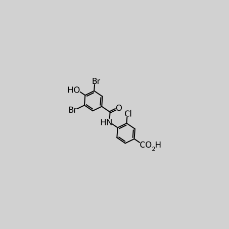 O=C(O)c1ccc(NC(=O)c2cc(Br)c(O)c(Br)c2)c(Cl)c1